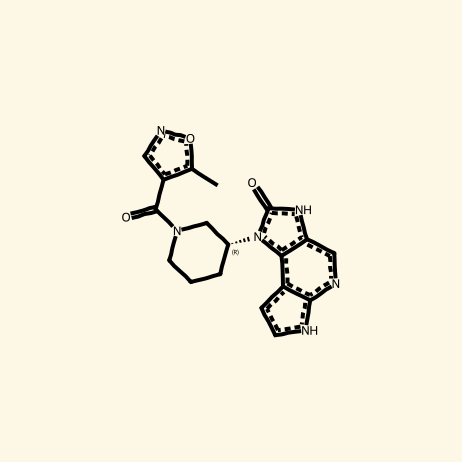 Cc1oncc1C(=O)N1CCC[C@@H](n2c(=O)[nH]c3cnc4[nH]ccc4c32)C1